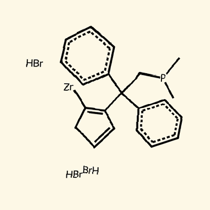 Br.Br.Br.CP(C)CC(C1=[C]([Zr])CC=C1)(c1ccccc1)c1ccccc1